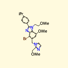 COCCn1c(-c2ccc(C(C)C)cc2)nc2c(Br)c(Cn3ccnc3COC)cc(OC)c21